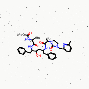 CCC(C)C(C(=O)NC(Cc1ccccc1)CC(O)C(Cc1ccccc1)NC(=O)C(NC(=O)OC)C(C)(C)C)N1CCN(Cc2cccc(C)n2)C1=O